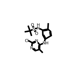 Cc1ccc(Nc2nc(Cl)ncc2C)cc1NS(=O)(=O)C(C)(C)C